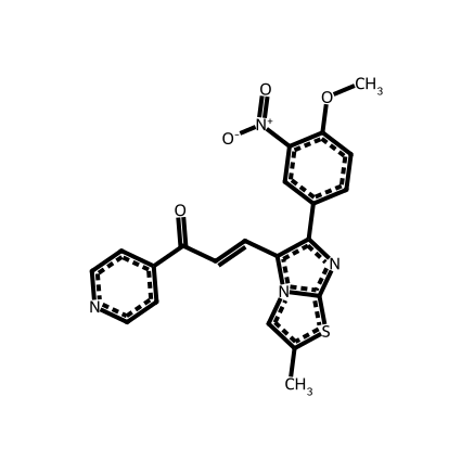 COc1ccc(-c2nc3sc(C)cn3c2/C=C/C(=O)c2ccncc2)cc1[N+](=O)[O-]